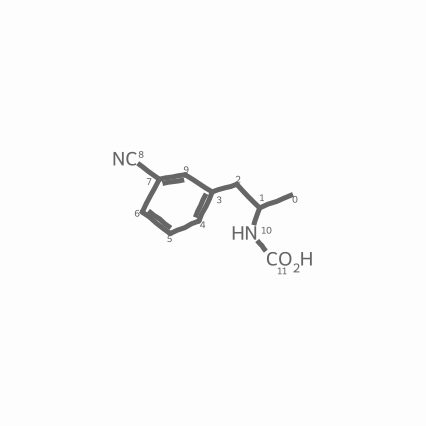 CC(Cc1cccc(C#N)c1)NC(=O)O